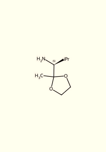 CC(C)[C@H](N)C1(C)OCCO1